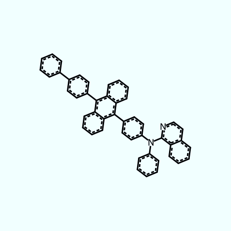 c1ccc(-c2ccc(-c3c4ccccc4c(-c4ccc(N(c5ccccc5)c5nccc6ccccc56)cc4)c4ccccc34)cc2)cc1